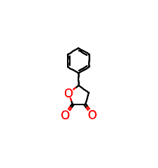 O=C1CC(c2ccccc2)OC1=O